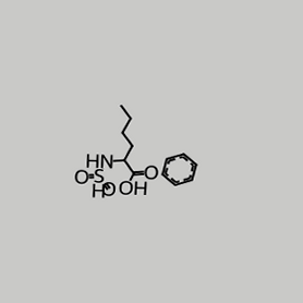 CCCCC(N[SH](=O)=O)C(=O)O.c1ccccc1